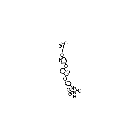 CS(=O)(=O)CCCOc1ccc(Oc2cccc3c2OC[C@H]3Oc2ccc(N3CC(=O)NS3(=O)=O)cc2)cn1